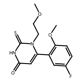 COCCn1c(-c2cc(F)ccc2OC)cc(=O)[nH]c1=S